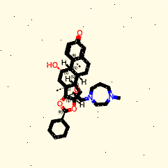 CN1CCCN(CC(=O)[C@@]23O[C@H](C4CCCCC4)O[C@@H]2C[C@H]2[C@@H]4CCC5=CC(=O)C=C[C@]5(C)[C@H]4[C@@H](O)C[C@@]23C)CC1